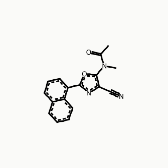 CC(=O)N(C)c1oc(-c2cccc3ccccc23)nc1C#N